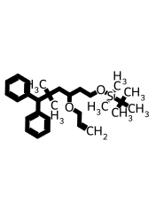 C=CCOC(CCO[Si](C)(C)C(C)(C)C)CC(C)(C)C(c1ccccc1)c1ccccc1